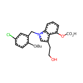 CC(C)COc1ccc(Cl)cc1Cn1cc(CCO)c2c(OC(=O)O)cccc21